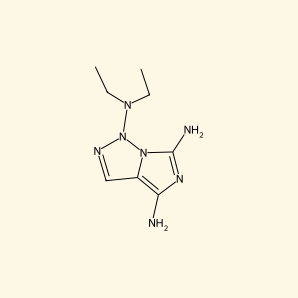 CCN(CC)n1ncc2c(N)nc(N)n21